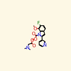 COc1c(F)ccc2cc(-c3cccnc3)n(C(=O)OOC(=O)CN(C)C)c12